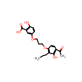 CCCc1c(OCCCOc2ccc(O)c(C(=O)O)c2)ccc(C(C)=O)c1O